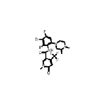 CC1CN(c2cc(F)c(Br)c(F)c2NC(=O)c2cn(C)c(=O)cc2C(F)(F)F)CCN1C